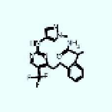 CC(C(N)=O)c1ccccc1CCc1nc(Nc2cnn(C)c2)ncc1C(F)(F)F